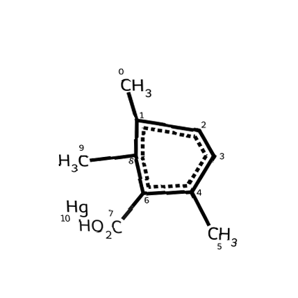 Cc1ccc(C)c(C(=O)O)c1C.[Hg]